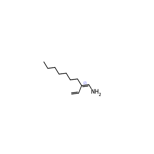 C=C/C(=C\N)CCCCCCC